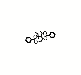 CCC(OC(=O)c1ccccc1)C(CC)C(C)(CC)OC(=O)c1ccccc1